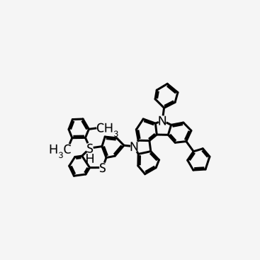 Cc1cccc(C)c1[SH]1c2ccccc2Sc2cc(-n3c4ccccc4c4c5c6cc(-c7ccccc7)ccc6n(-c6ccccc6)c5ccc43)ccc21